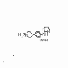 COc1cc(N2CCN(C)CC2)ccc1NC1=NCCC=N1